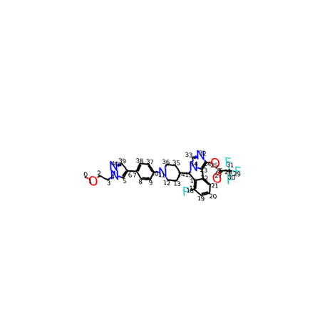 COCCn1cc(-c2ccc(N3CCC(C4c5c(F)cccc5-c5c(OC(=O)C(F)(F)F)ncn54)CC3)cc2)cn1